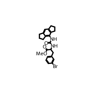 COC(=O)C(Cc1cccc(Br)c1)NC(=O)Nc1c2c(cc3c1CCC3)CCC2